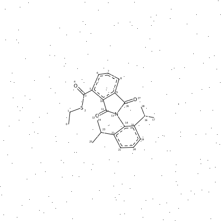 CCSC(=O)c1cccc2c1C(=O)N(c1c(C(C)C)cccc1C(C)C)C2=O